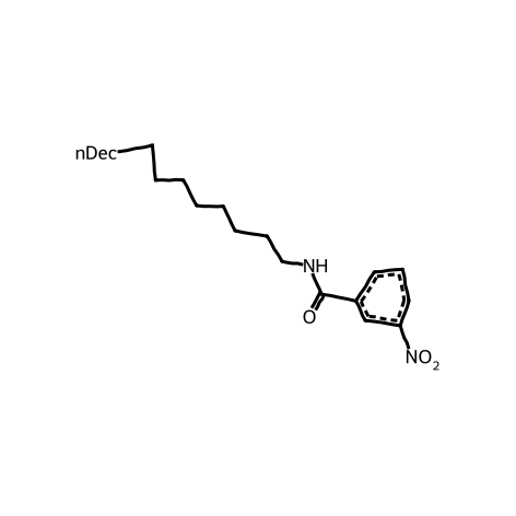 CCCCCCCCCCCCCCCCCCNC(=O)c1cccc([N+](=O)[O-])c1